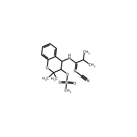 CC(C)C(=NC#N)NC1c2ccccc2OC(C)(C)C1OS(C)(=O)=O